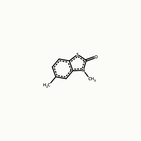 Cc1ccc2sc(=O)n(C)c2c1